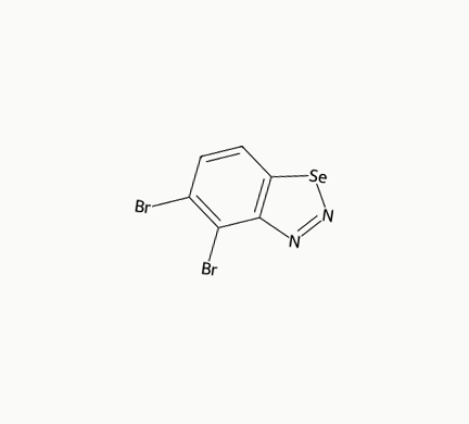 Brc1ccc2[se]nnc2c1Br